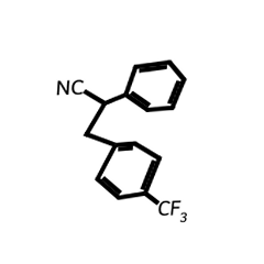 N#CC(Cc1ccc(C(F)(F)F)cc1)c1ccccc1